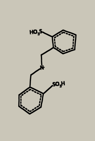 O=S(=O)(O)c1ccccc1C[N]Cc1ccccc1S(=O)(=O)O